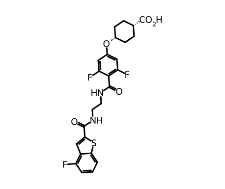 O=C(NCCNC(=O)c1c(F)cc(O[C@H]2CC[C@@H](C(=O)O)CC2)cc1F)c1cc2c(F)cccc2s1